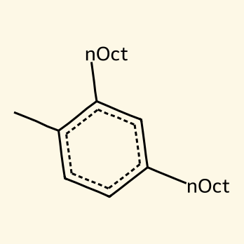 CCCCCCCCc1ccc(C)c(CCCCCCCC)c1